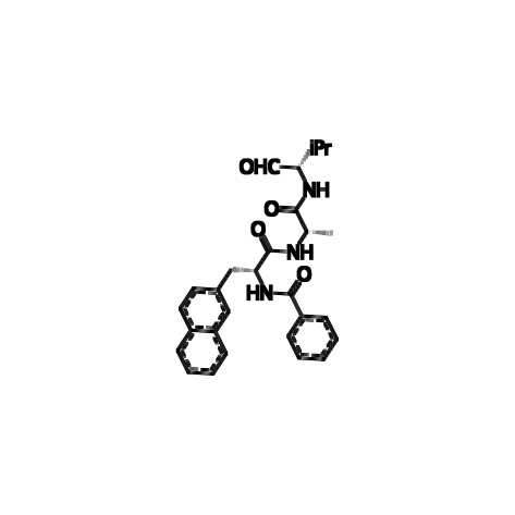 CC(C)[C@@H](C=O)NC(=O)[C@H](C)NC(=O)[C@@H](Cc1ccc2ccccc2c1)NC(=O)c1ccccc1